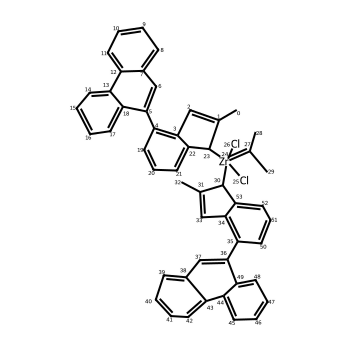 CC1=Cc2c(-c3cc4ccccc4c4ccccc34)cccc2[CH]1[Zr]([Cl])([Cl])(=[C](C)C)[CH]1C(C)=Cc2c(-c3cc4ccccc4c4ccccc34)cccc21